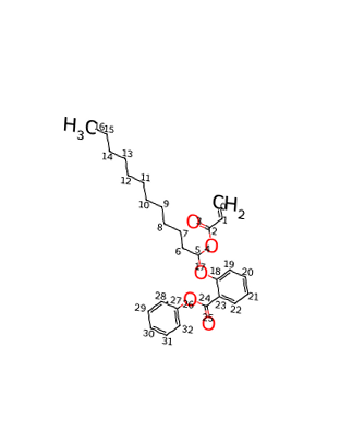 C=CC(=O)OC(CCCCCCCCCCC)Oc1ccccc1C(=O)Oc1[c]cccc1